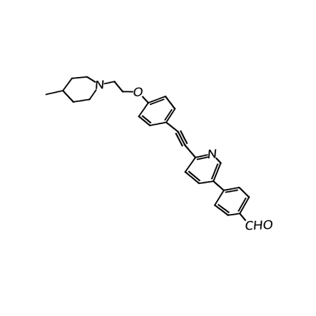 CC1CCN(CCOc2ccc(C#Cc3ccc(-c4ccc(C=O)cc4)cn3)cc2)CC1